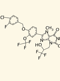 Cn1c(-c2ccc(OCc3ccc(Cl)c(F)c3)c(OC(F)(F)F)c2)nc2c1c(=O)[nH]c(=O)n2CC(O)C(F)(F)F